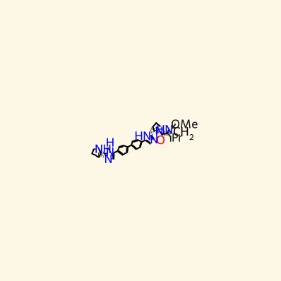 C=C(N[C@H](C(=O)N1CCC[C@H]1c1ncc(-c2ccc(-c3ccc(-c4cnc([C@@H]5CCCN5)[nH]4)cc3)cc2)[nH]1)C(C)C)OC